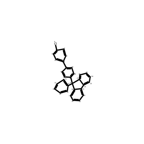 Clc1ccc(-c2ccc(C3(c4ccccc4)c4ccccc4-c4ccccc43)cc2)cc1